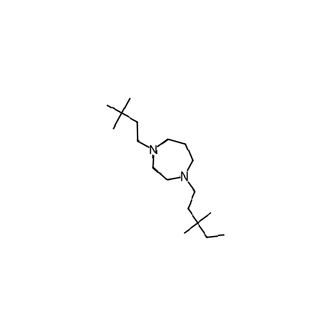 CCC(C)(C)CCN1CCCN(CCC(C)(C)C)CC1